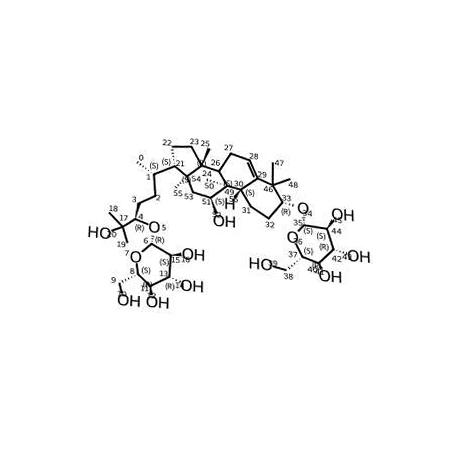 C[C@@H](CC[C@@H](O[C@H]1O[C@@H](CO)[C@H](O)[C@@H](O)[C@@H]1O)C(C)(C)O)[C@@H]1CC[C@]2(C)C3CC=C4[C@H](CC[C@@H](O[C@H]5O[C@@H](CO)[C@H](O)[C@@H](O)[C@@H]5O)C4(C)C)[C@@]3(C)[C@@H](O)C[C@@]12C